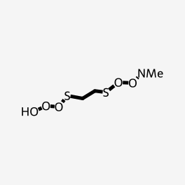 CNOOSCCSOOO